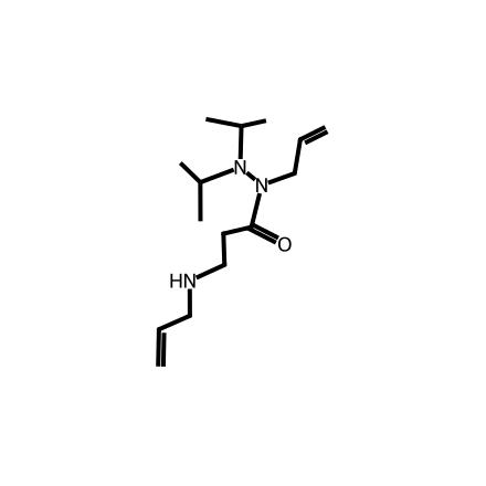 C=CCNCCC(=O)N(CC=C)N(C(C)C)C(C)C